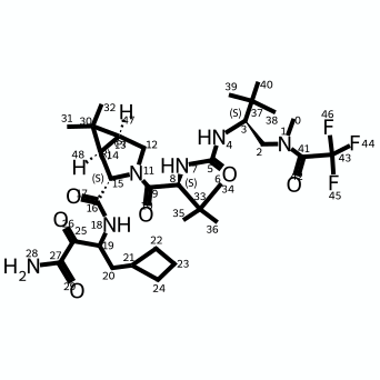 CN(C[C@@H](NC(=O)N[C@H](C(=O)N1C[C@H]2[C@@H]([C@H]1C(=O)NC(CC1CCC1)C(=O)C(N)=O)C2(C)C)C(C)(C)C)C(C)(C)C)C(=O)C(F)(F)F